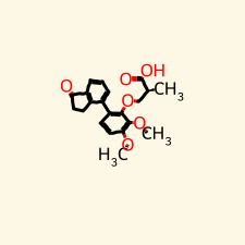 COc1ccc(-c2cccc3c2CCC3=O)c(OC[C@H](C)C(=O)O)c1OC